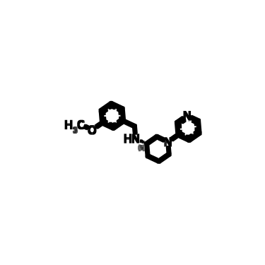 COc1cccc(CN[C@H]2CCCN(c3cccnc3)C2)c1